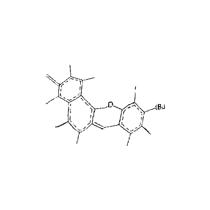 C=c1c(C)c(C)c2c3c(c(C)c(C)c2c1C)=Cc1c(C)c(C)c(C(C)(C)C)c(C)c1O3